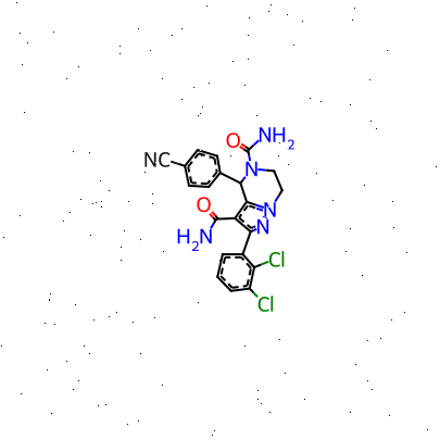 N#Cc1ccc(C2c3c(C(N)=O)c(-c4cccc(Cl)c4Cl)nn3CCN2C(N)=O)cc1